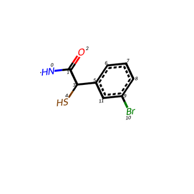 [NH]C(=O)C(S)c1cccc(Br)c1